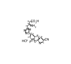 Cl.N#Cc1cnc(Oc2ccc(-c3nnn(C[C@@H](N)CC(=O)O)n3)cc2F)c(F)c1